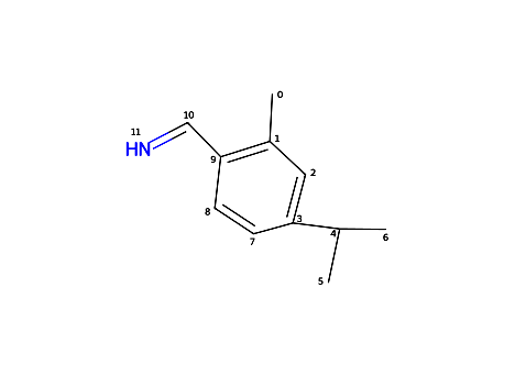 Cc1cc(C(C)C)ccc1C=N